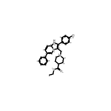 CCOC(=O)C1CCN(CC2=C(c3ccc(Cl)cc3)NC3C=CC(c4ccccc4)=CN23)CC1